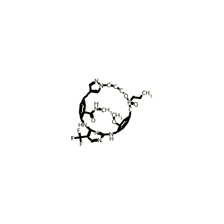 CCCP1(=O)Cc2ccc(c(OC)c2)Nc2ncc(C(F)(F)F)c(n2)Nc2ccc(cc2C(=O)NC)-c2cnn(c2)CCCO1